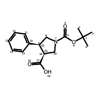 CC(C)(C)OC(=O)N1C[C@H](c2ccccc2)[C@H](C(=O)O)C1